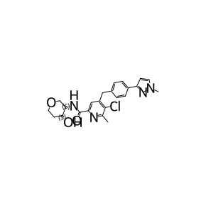 Cc1nc(C(=O)N[C@H]2COCC[C@@H]2O)cc(Cc2ccc(-c3ccn(C)n3)cc2)c1Cl